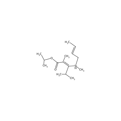 CC=CC[SiH](C)C(=C(C)C(=O)OC(C)C)C(C)C